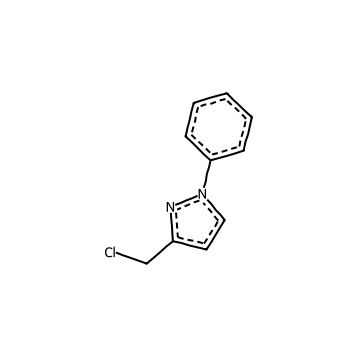 ClCc1ccn(-c2ccccc2)n1